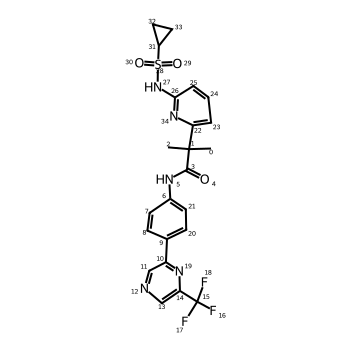 CC(C)(C(=O)Nc1ccc(-c2cncc(C(F)(F)F)n2)cc1)c1cccc(NS(=O)(=O)C2CC2)n1